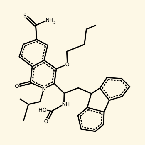 CCCCOc1c(C(CC2c3ccccc3-c3ccccc32)NC(=O)O)n(CC(C)C)c(=O)c2ccc(C(N)=S)cc12